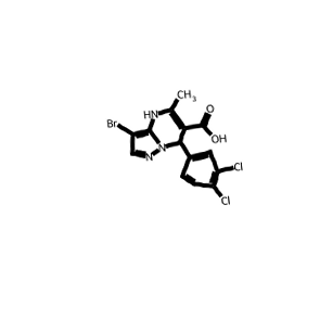 CC1=C(C(=O)O)C(c2ccc(Cl)c(Cl)c2)n2ncc(Br)c2N1